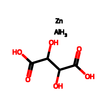 O=C(O)C(O)C(O)C(=O)O.[AlH3].[Zn]